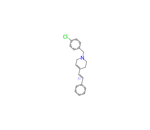 Clc1ccc(CN2CC=C(/C=C/c3ccccc3)CC2)cc1